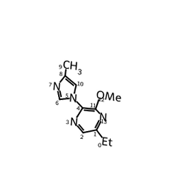 CCc1cnc(-n2cnc(C)c2)c(OC)n1